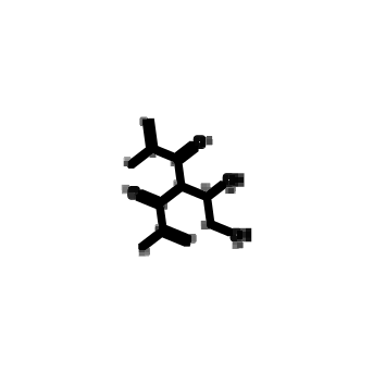 C=C(C)C(=O)[C](C(=O)C(=C)C)C(O)CO